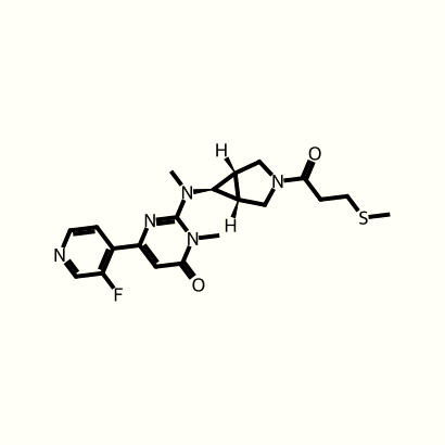 CSCCC(=O)N1C[C@@H]2[C@H](C1)[C@H]2N(C)c1nc(-c2ccncc2F)cc(=O)n1C